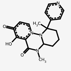 CN1C(=O)c2c(O)c(=O)ccn2N2C1CCCC2(C)c1ccncc1